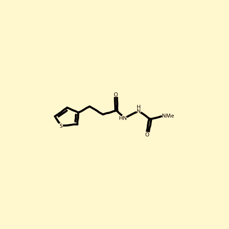 CNC(=O)NNC(=O)CCc1ccsc1